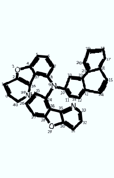 C1=Cc2oc3cccc(N(c4ccc5ccc6ccccc6c5c4)c4cccc5oc6cccnc6c45)c3c2NC1